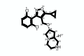 Clc1cccc(Cl)c1-c1noc(C2CC2)c1CO[C@@H]1C[C@H]2CNCCN2C1